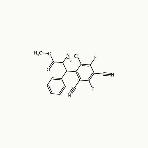 COC(=O)C(N)C(c1ccccc1)c1c(Cl)c(F)c(C#N)c(F)c1C#N